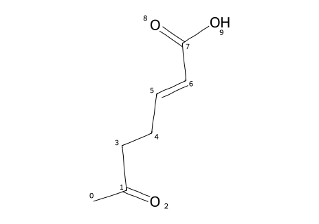 CC(=O)CC/C=C/C(=O)O